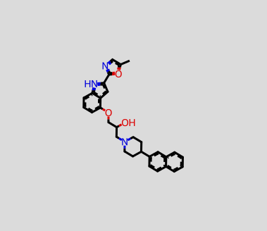 Cc1cnc(-c2cc3c(OCC(O)CN4CCC(c5ccc6ccccc6c5)CC4)cccc3[nH]2)o1